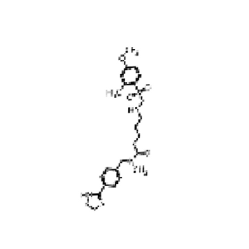 Cc1cc(OC(F)(F)F)ccc1S(=O)(=O)CNCCCCC(=O)N(C)Cc1ccc(C2=NCCN2)cc1